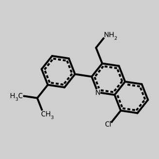 CC(C)c1cccc(-c2nc3c(Cl)cccc3cc2CN)c1